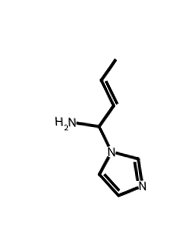 CC=CC(N)n1ccnc1